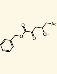 CC(=O)C[C@@H](O)CC(=O)C(=O)OCc1ccccc1